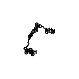 O=C(/C=C/c1cccnc1)NCCCCC1CCN(C(=O)c2ccc(N3CCC(N4CCN(CCCCCCC#Cc5cccc6c5CN(C5CCC(=O)NC5=O)C6=O)CC4)CC3)nc2)CC1